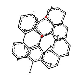 Fc1c(F)c(F)c(N(c2ccccc2-c2ccccc2N(c2c(F)c(F)c(F)c(F)c2F)c2cccc3ccccc23)c2cccc3ccccc23)c(F)c1F